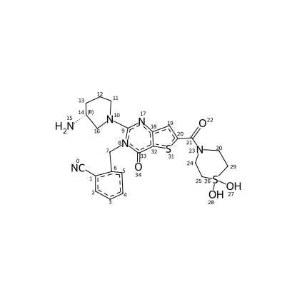 N#Cc1ccccc1Cn1c(N2CCC[C@@H](N)C2)nc2cc(C(=O)N3CCS(O)(O)CC3)sc2c1=O